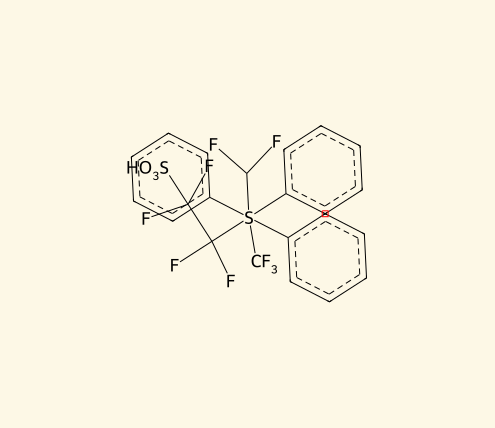 O=S(=O)(O)C(F)(F)C(F)(F)S(c1ccccc1)(c1ccccc1)(c1ccccc1)(C(F)F)C(F)(F)F